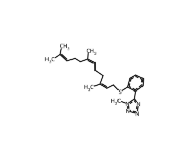 CC(C)=CCCC(C)=CCCC(C)=CCSc1ccccc1-c1nnnn1C